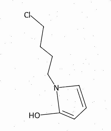 Oc1cccn1CCCCCl